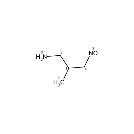 CC(CN)CN=O